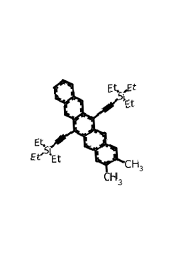 CC[Si](C#Cc1c2cc3ccccc3cc2c(C#C[Si](CC)(CC)CC)c2cc3cc(C)c(C)cc3cc12)(CC)CC